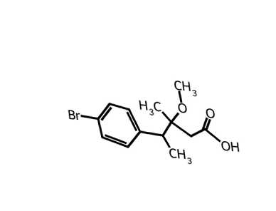 COC(C)(CC(=O)O)C(C)c1ccc(Br)cc1